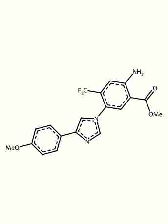 COC(=O)c1cc(-n2cnc(-c3ccc(OC)cc3)c2)c(C(F)(F)F)cc1N